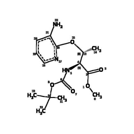 COC(=O)[C@@H](NC(=O)OC(C)(C)C)[C@@H](C)Oc1ncccc1N